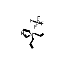 C=CC[N+]1(CC=C)C=CN=C1.F[B-](F)(F)F